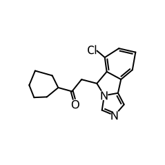 O=C(CC1c2c(Cl)cccc2-c2cncn21)C1CCCCC1